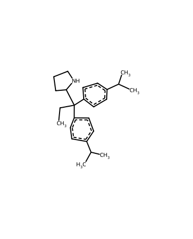 CCC(c1ccc(C(C)C)cc1)(c1ccc(C(C)C)cc1)C1CCCN1